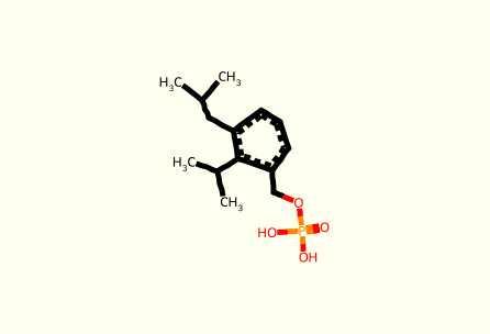 CC(C)Cc1cccc(COP(=O)(O)O)c1C(C)C